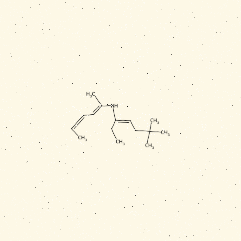 C/C=C\C=C(/C)N/C(=C/CC(C)(C)C)CC